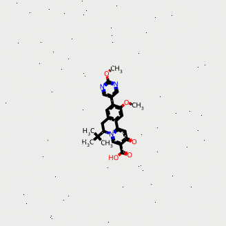 COc1ncc(-c2cc3c(cc2OC)-c2cc(=O)c(C(=O)O)cn2C(C(C)(C)C)C3)cn1